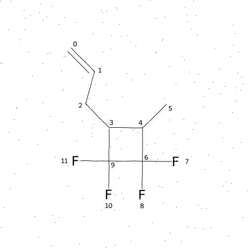 C=CCC1C(C)C(F)(F)C1(F)F